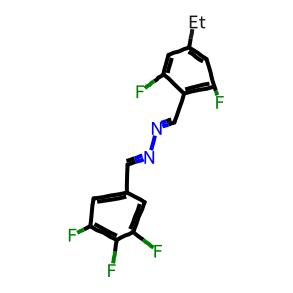 CCc1cc(F)c(C=NN=Cc2cc(F)c(F)c(F)c2)c(F)c1